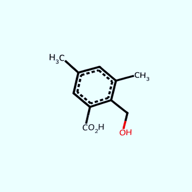 Cc1cc(C)c(CO)c(C(=O)O)c1